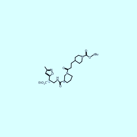 CCOC(=O)[C@@H](CNC(=O)[C@@H]1CCCN(C(=O)CCC2CCN(C(=O)OC(C)(C)C)CC2)C1)c1cc(C)no1